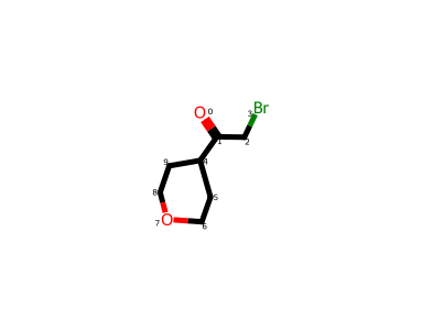 O=C(CBr)C1CCOCC1